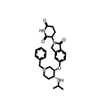 CC(C)N[C@@H]1CCN(Cc2ccccc2)C[C@H]1Oc1ccc2c(c1)CN(C1CCC(=O)NC1=O)C2=O